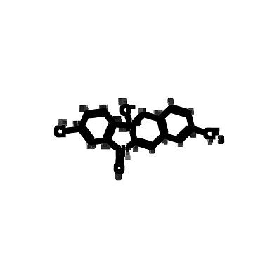 O=[N+]1C2=Cc3cc(C(F)(F)F)ccc3C[N+]2([O-])c2ccc(Cl)cc21